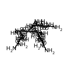 NCCCC[C@H](N)C(=O)CC(=O)NN[C@@H](CS)C(=O)C(=O)NN[C@@H](Cc1c[nH]cn1)C(=O)CC(=O)NCCN(CCNC(=O)CC(=O)[C@H](Cc1c[nH]cn1)NNC(=O)N[C@@H](CS)C(=O)NC(=O)CC(=O)[C@@H](N)CCCCN)CCNC(=O)N[C@@H](Cc1c[nH]cn1)C(=O)CNC(=O)N[C@@H](CS)C(=O)NC(=O)CC(=O)[C@@H](N)CCCCN